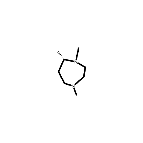 C[C@H]1CCN(C)CCN1C